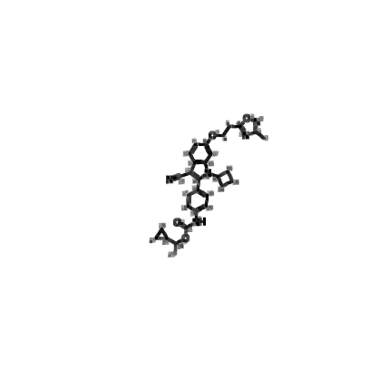 Cc1noc(CCOc2ccc3c(C#N)c(-c4ccc(NC(=O)OC(C)C5CC5)cc4)n(C4CCC4)c3c2)n1